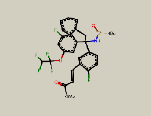 COC(=O)/C=C/c1cc([C@@](Cc2ccccc2)(N[S@+]([O-])C(C)(C)C)c2cc(F)cc(OC(F)(F)C(F)F)c2)ccc1F